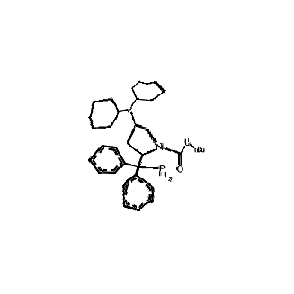 CCCCOC(=O)N1CC(P(C2CCCCC2)C2CCCCC2)CC1C(P)(c1ccccc1)c1ccccc1